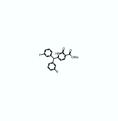 COC(=O)c1ccc(C(c2cccc(F)c2)c2cccc(F)c2)[nH]c1=O